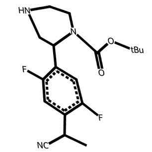 CC(C#N)c1cc(F)c(C2CNCCN2C(=O)OC(C)(C)C)cc1F